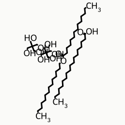 CCCCCCCCCCCCCCCCCC(=O)O.CCCCCCCCCCCCCCOC(=O)CCCCCCCCCCCCC.OCC(CO)(CO)CO.OCC(CO)(CO)CO